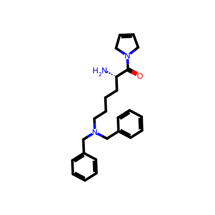 N[C@@H](CCCCN(Cc1ccccc1)Cc1ccccc1)C(=O)N1CC=CC1